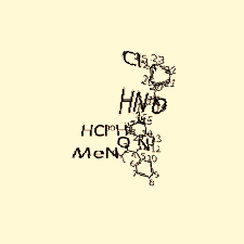 CNC[C@@H](O)[C@H](c1ccccc1)n1ccc2cc(NC(=O)c3cccc(Cl)c3)ccc21.Cl